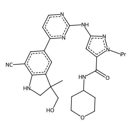 CC(C)n1nc(Nc2nccc(-c3cc(C#N)c4c(c3)C(C)(CO)CN4)n2)cc1C(=O)NC1CCOCC1